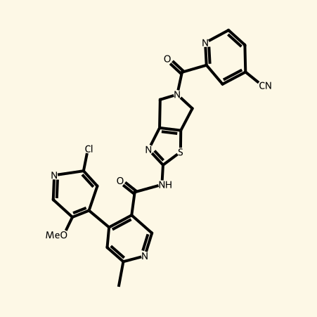 COc1cnc(Cl)cc1-c1cc(C)ncc1C(=O)Nc1nc2c(s1)CN(C(=O)c1cc(C#N)ccn1)C2